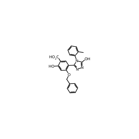 Cc1ccccc1-n1c(O)nnc1-c1cc(C(=O)O)c(O)cc1OCc1ccccc1